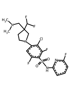 CN(C)CC1(C(F)F)CCN(c2cc(F)c(S(=O)(=O)Nc3cccc(F)n3)c(F)c2Cl)C1